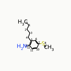 CCCCCc1cc(SC)ccc1N